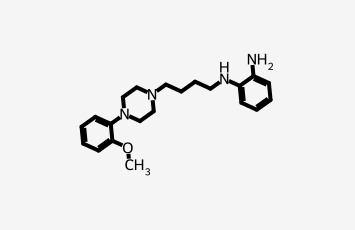 COc1ccccc1N1CCN(CCCCNc2ccccc2N)CC1